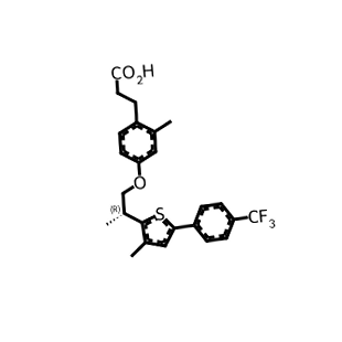 Cc1cc(OC[C@@H](C)c2sc(-c3ccc(C(F)(F)F)cc3)cc2C)ccc1CCC(=O)O